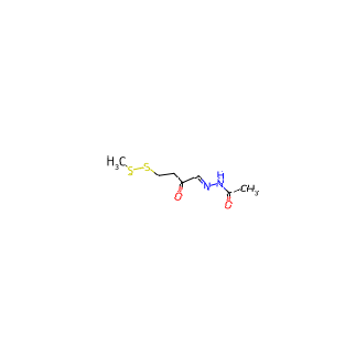 CSSCCC(=O)/C=N/NC(C)=O